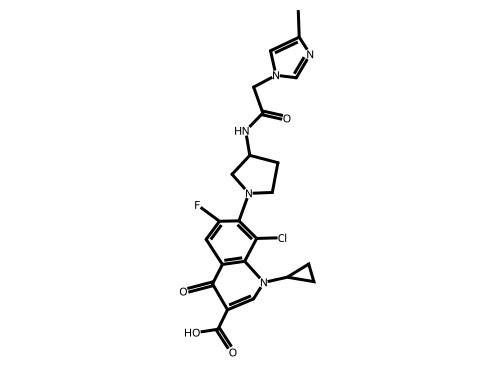 Cc1cn(CC(=O)NC2CCN(c3c(F)cc4c(=O)c(C(=O)O)cn(C5CC5)c4c3Cl)C2)cn1